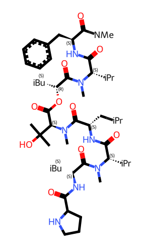 CC[C@H](C)[C@H](NC(=O)C1CCCN1)C(=O)N(C)[C@H](C(=O)N[C@@H](CC(C)C)C(=O)N(C)[C@H](C(=O)O[C@@H](C(=O)N(C)[C@H](C(=O)N[C@@H](Cc1ccccc1)C(=O)NC)C(C)C)[C@@H](C)CC)C(C)(C)O)C(C)C